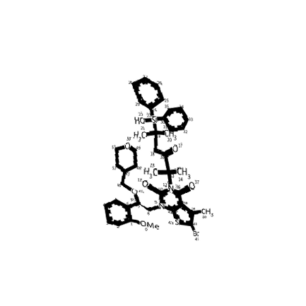 COc1ccccc1[C@H](Cn1c(=O)n(C(C)(C)C(=O)CC(C)(C)[Si](O)(c2ccccc2)c2ccccc2)c(=O)c2c(C)c(Br)sc21)OCC1CCOCC1